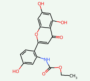 CCOC(=O)Nc1cc(O)ccc1-c1cc(=O)c2c(O)cc(O)cc2o1